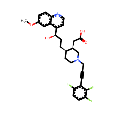 COc1ccc2nccc([C@H](O)CC[C@@H]3CCN(CC#Cc4c(F)ccc(F)c4F)C[C@@H]3CC(=O)O)c2c1